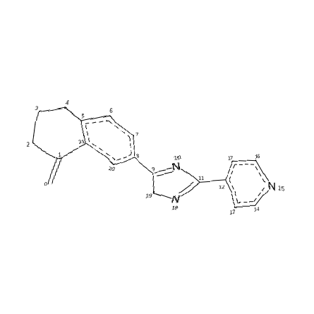 C=C1CCCc2ccc(C3=NC(c4ccncc4)=NC3)cc21